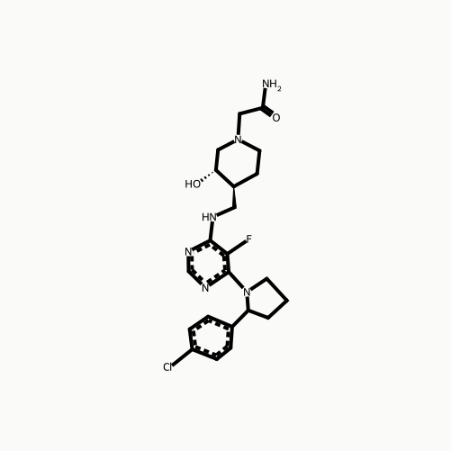 NC(=O)CN1CC[C@@H](CNc2ncnc(N3CCCC3c3ccc(Cl)cc3)c2F)[C@H](O)C1